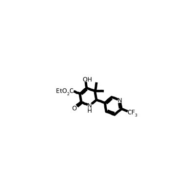 CCOC(=O)C1=C(O)C(C)(C)C(c2ccc(C(F)(F)F)nc2)NC1=O